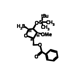 B[C@@H]1O[C@H](COC(=O)c2ccccc2)[C@H](OC)C1O[Si](C)(C)C(C)(C)C